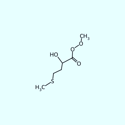 COOC(=O)C(O)CCSC